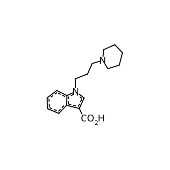 O=C(O)c1cn(CCCN2CCCCC2)c2ccccc12